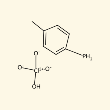 Cc1ccc(P)cc1.[O-][Cl+3]([O-])([O-])O